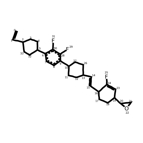 C=CC1CCC(c2ccc(C3CCC(/C=C/C4CCC(C5CO5)C=C4F)CC3)c(F)c2F)CC1